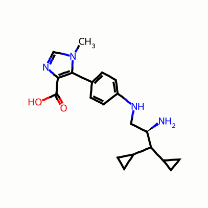 Cn1cnc(C(=O)O)c1-c1ccc(NC[C@@H](N)C(C2CC2)C2CC2)cc1